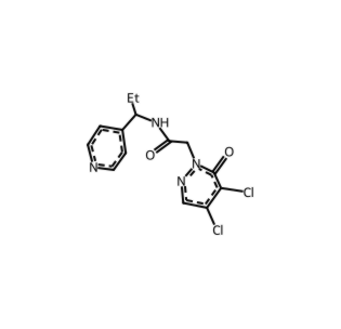 CCC(NC(=O)Cn1ncc(Cl)c(Cl)c1=O)c1ccncc1